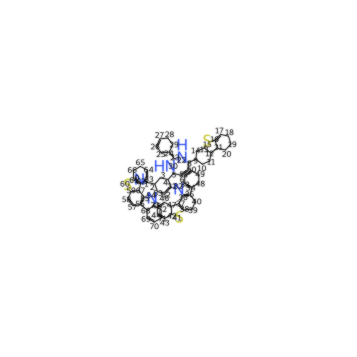 N#CC1CC(C2C=CC(C3CCC4C(C3)SC3=CCCCC34)NC(C3CC=CCC3)N2)C(n2c3c(c4c2C2=C(CC4)SC4C=CC=CC24)CCC=C3)=CC1N1C2=C(C=CC3SC4=C(C=CCC4)C23)C2C=CCCC21